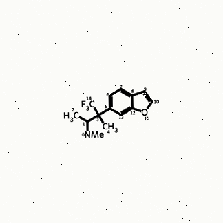 CNC(C)C(C)(c1ccc2ccoc2c1)C(F)(F)F